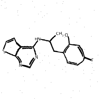 CC(Cc1ccc(F)cc1Cl)Nc1ncnc2sccc12